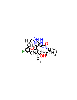 Cc1cc(F)cc(C)c1Oc1ccc(C(C)(C)O)cc1-c1cn2c(C)nnc2c2[nH]c(C(=O)NCC(C)(C)C)cc12